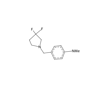 CNc1ccc(CN2CCC(F)(F)C2)cc1